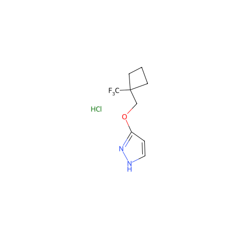 Cl.FC(F)(F)C1(COc2cc[nH]n2)CCC1